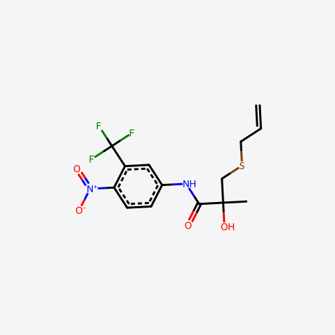 C=CCSCC(C)(O)C(=O)Nc1ccc([N+](=O)[O-])c(C(F)(F)F)c1